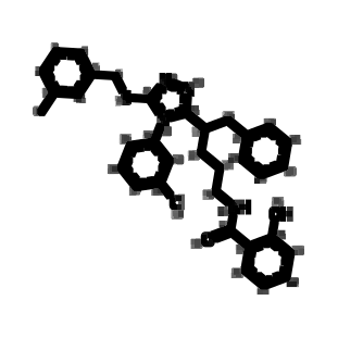 Cc1cccc(CSc2nnc(C(CCCNC(=O)c3ccccc3O)Cc3ccccc3)n2-c2cccc(Cl)c2)c1